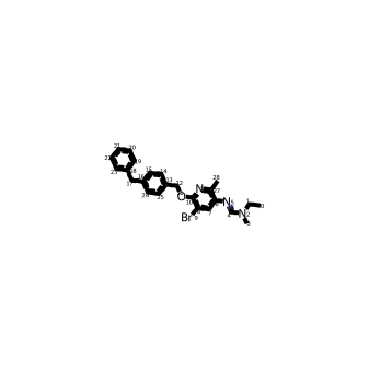 CCN(C)/C=N/c1cc(Br)c(OCc2ccc(Cc3ccccc3)cc2)nc1C